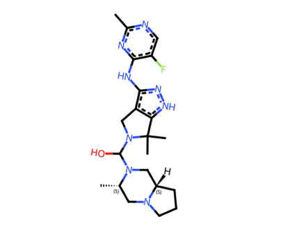 Cc1ncc(F)c(Nc2n[nH]c3c2CN(C(O)N2C[C@@H]4CCCN4C[C@@H]2C)C3(C)C)n1